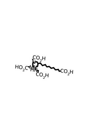 O=C(O)CCCCCCCCCCC1CN(CC(=O)O)CC(NCC(=O)O)N(NCC(=O)O)C1